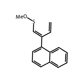 C=C/C(=C\SOC)c1cccc2ccccc12